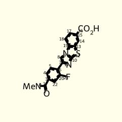 CNC(=O)c1ccc(-c2cn3c(n2)sc2cc(C(=O)O)ccc23)c(F)c1